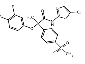 CC(Oc1ccc(F)c(F)c1)(C(=O)Nc1ncc(Cl)s1)c1ccc(S(C)(=O)=O)cc1